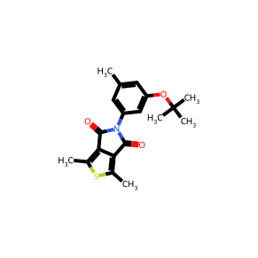 Cc1cc(OC(C)(C)C)cc(N2C(=O)c3c(C)sc(C)c3C2=O)c1